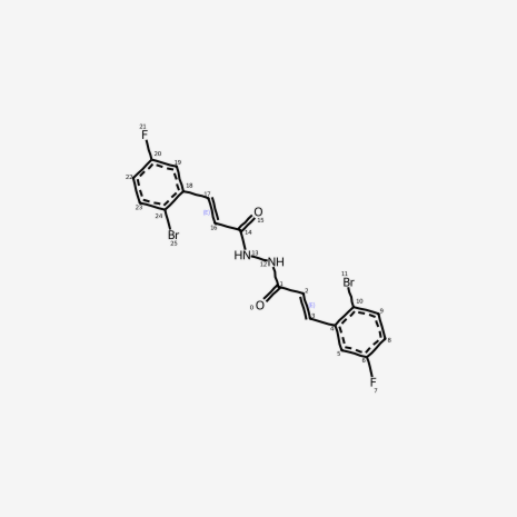 O=C(/C=C/c1cc(F)ccc1Br)NNC(=O)/C=C/c1cc(F)ccc1Br